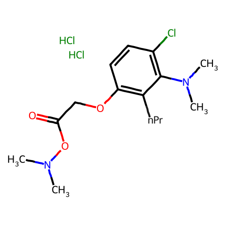 CCCc1c(OCC(=O)ON(C)C)ccc(Cl)c1N(C)C.Cl.Cl